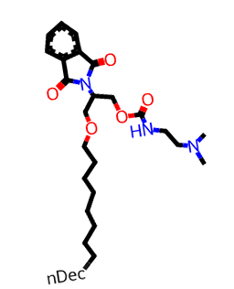 CCCCCCCCCCCCCCCCCCOCC(COC(=O)NCCN(C)C)N1C(=O)c2ccccc2C1=O